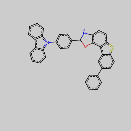 c1ccc(-c2ccc3sc4ccc5c(c4c3c2)OC(c2ccc(-n3c4ccccc4c4ccccc43)cc2)N5)cc1